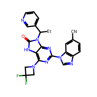 CCC(c1cccnc1)n1c(=O)[nH]c2c(N3CC(F)(F)C3)nc(-n3cnc4ccc(C#N)cc43)nc21